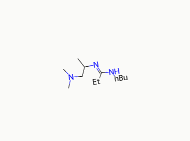 CCCCN/C(CC)=N/C(C)CN(C)C